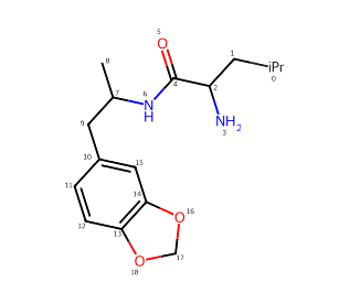 CC(C)CC(N)C(=O)NC(C)Cc1ccc2c(c1)OCO2